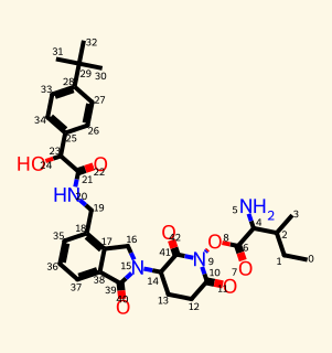 CCC(C)C(N)C(=O)ON1C(=O)CCC(N2Cc3c(CNC(=O)C(O)c4ccc(C(C)(C)C)cc4)cccc3C2=O)C1=O